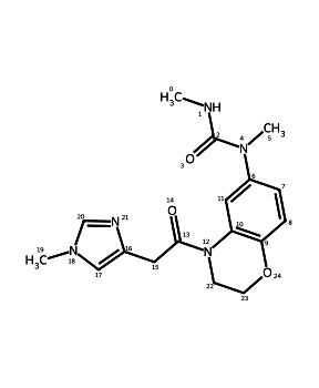 CNC(=O)N(C)c1ccc2c(c1)N(C(=O)Cc1cn(C)cn1)CCO2